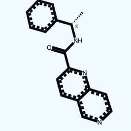 C[C@H](NC(=O)c1ccc2cnccc2n1)c1ccccc1